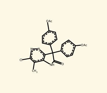 CC(=O)Oc1ccc(C2(c3ccc(OC(C)=O)cc3)C(=O)Nc3c2nnc(Cl)c3C)cc1